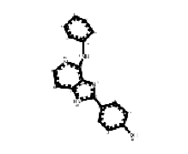 Oc1ccc(-c2nc3c(Nc4ccccc4)nccc3[nH]2)cc1